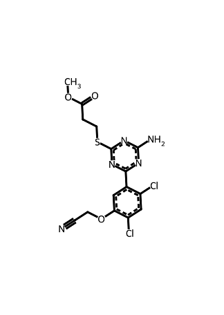 COC(=O)CCSc1nc(N)nc(-c2cc(OCC#N)c(Cl)cc2Cl)n1